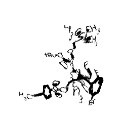 Cc1ccc(S(=O)(=O)OC[C@@]2(C)SC(N(COCC[Si](C)(C)C)C(=O)OC(C)(C)C)=N[C@](CF)(c3cc(Br)ccc3F)[C@@H]2C)cc1